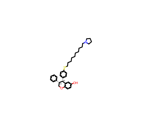 Oc1ccc2c(c1)[C@@H](c1ccc(SCCCCCCCCCCN3CCCC3)cc1)[C@@H](c1ccccc1)CO2